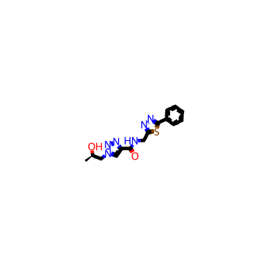 C[C@@H](O)Cn1cc(C(=O)NCc2nnc(-c3ccccc3)s2)nn1